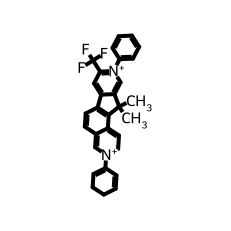 CC1(C)c2c[n+](-c3ccccc3)c(C(F)(F)F)cc2-c2ccc3c[n+](C4=CCCC=C4)ccc3c21